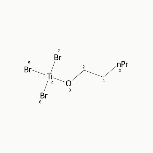 CCCCC[O][Ti]([Br])([Br])[Br]